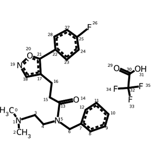 CN(C)CCN(Cc1ccccc1)C(=O)CCc1cnoc1-c1ccc(F)cc1.O=C(O)C(F)(F)F